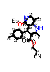 C=C(OCCC#N)C1=C(C)Nc2c(C)cnc(OCC)c2C1c1ccc(C)cc1OC